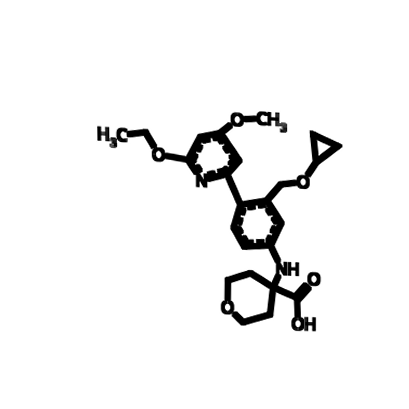 CCOc1cc(OC)cc(-c2ccc(NC3(C(=O)O)CCOCC3)cc2COC2CC2)n1